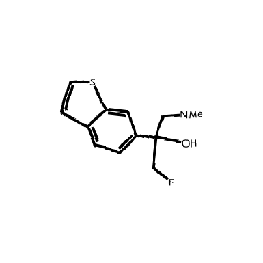 CNCC(O)(CF)c1ccc2ccsc2c1